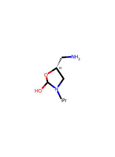 CC(C)N1C[C@@H](CN)OC1O